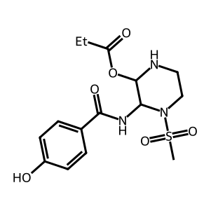 CCC(=O)OC1NCCN(S(C)(=O)=O)C1NC(=O)c1ccc(O)cc1